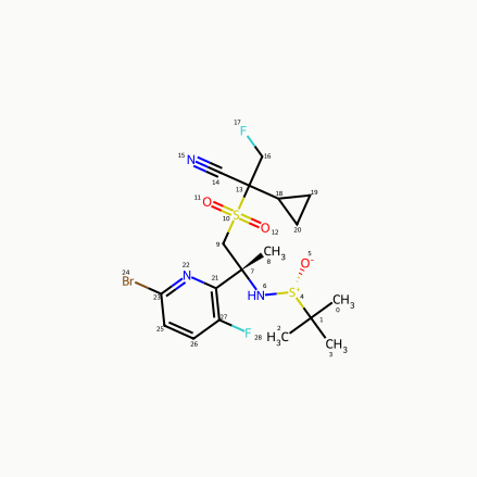 CC(C)(C)[S@@+]([O-])N[C@@](C)(CS(=O)(=O)C(C#N)(CF)C1CC1)c1nc(Br)ccc1F